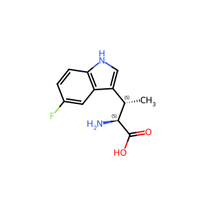 C[C@@H](c1c[nH]c2ccc(F)cc12)[C@H](N)C(=O)O